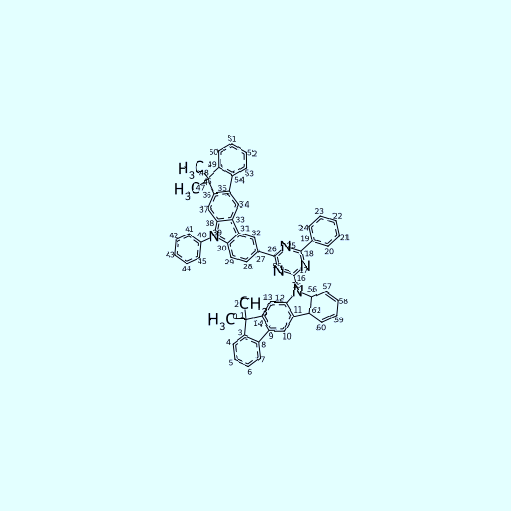 CC1(C)c2ccccc2-c2cc3c(cc21)N(c1nc(-c2ccccc2)nc(-c2ccc4c(c2)c2cc5c(cc2n4-c2ccccc2)C(C)(C)c2ccccc2-5)n1)C1C=CC=CC31